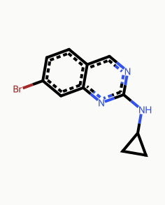 Brc1ccc2cnc(NC3CC3)nc2c1